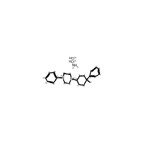 CC1(c2ccccc2)CCC(N2CCN(c3ccccc3)CC2)CC1.Cl.Cl.N